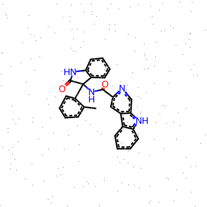 Cc1ccccc1C1(NC(=O)c2cc3c(cn2)[nH]c2ccccc23)C(=O)Nc2ccccc21